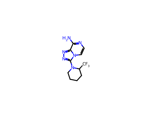 Nc1nccn2c(N3CCCCC3C(F)(F)F)nnc12